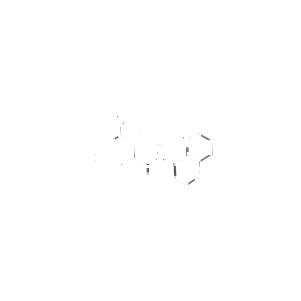 CCC(OC(N)=O)C(=O)Nc1cccc2cccnc12